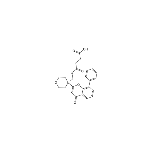 O=C(O)CCC(=O)OC[N+]1(c2cc(=O)c3cccc(-c4ccccc4)c3o2)CCOCC1